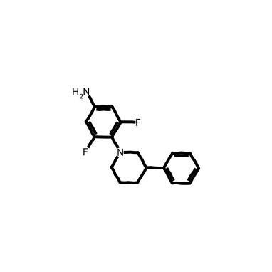 Nc1cc(F)c(N2CCCC(c3ccccc3)C2)c(F)c1